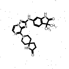 CC1(C)C(=O)Nc2cc(Nc3nc4c(N5CCC6(CCC(=O)N6)CC5)nccn4n3)ccc21